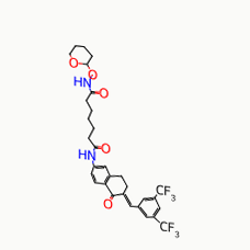 O=C(CCCCCC(=O)Nc1ccc2c(c1)CC/C(=C\c1cc(C(F)(F)F)cc(C(F)(F)F)c1)C2=O)NOC1CCCCO1